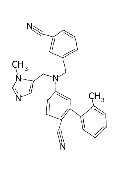 Cc1ccccc1-c1cc(N(Cc2cccc(C#N)c2)Cc2cncn2C)ccc1C#N